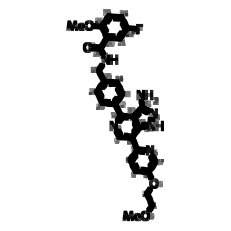 COCCOc1ccc(-c2cnc(-c3ccc(CNC(=O)c4cc(F)ccc4OC)cc3)c3c(N)n[nH]c23)nc1